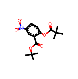 CC(C)(C)OC(=O)c1cc([N+](=O)[O-])ccc1OC(=O)C(C)(C)C